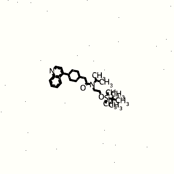 CC(C)N(CCO[Si](C)(C)C(C)(C)C)C(=O)CC1CCC(c2ccnc3ccccc23)CC1